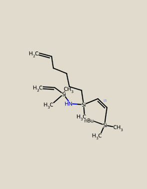 C=CCCCC[Si](C)(/C=C\[Si](C)(C)CCCC)N[Si](C)(C)C=C